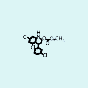 CCOC(=O)OC1CC(c2cccc(Cl)c2)c2c(Cl)cc(Cl)cc2N1